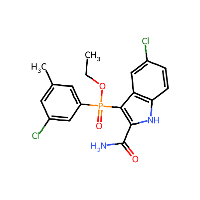 CCOP(=O)(c1cc(C)cc(Cl)c1)c1c(C(N)=O)[nH]c2ccc(Cl)cc12